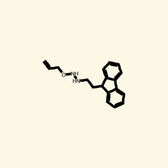 C=CCONNCCC1c2ccccc2-c2ccccc21